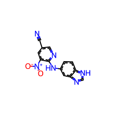 N#Cc1cnc(Nc2ccc3[nH]cnc3c2)c([N+](=O)[O-])c1